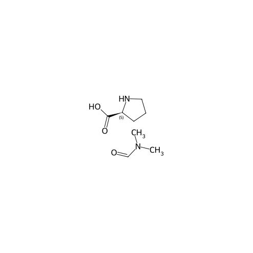 CN(C)C=O.O=C(O)[C@@H]1CCCN1